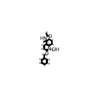 CC(=O)NC1(C)CCCc2nc(OCc3ccccc3)ccc21.Cl